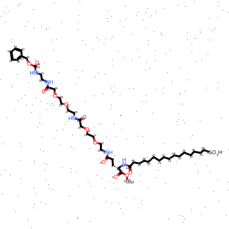 CC(C)(C)OC(=O)[C@H](CCC(=O)NCCOCCOCC(=O)NCCOCCOCC(=O)NCCNC(=O)OCc1ccccc1)NC(=O)CCCCCCCCCCCCCCCS(=O)(=O)O